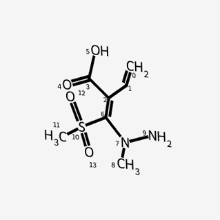 C=C/C(C(=O)O)=C(\N(C)N)S(C)(=O)=O